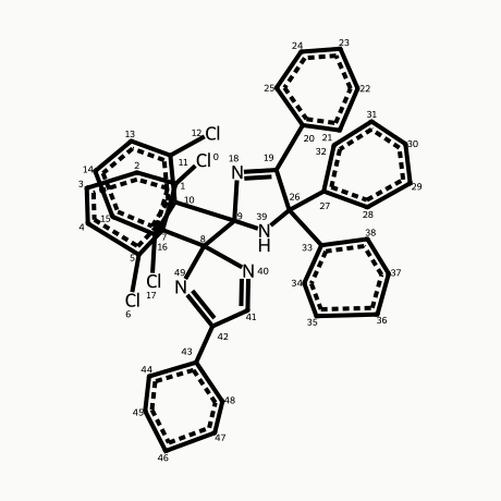 Clc1cccc(Cl)c1C1(C2(c3c(Cl)cccc3Cl)N=C(c3ccccc3)C(c3ccccc3)(c3ccccc3)N2)N=CC(c2ccccc2)=N1